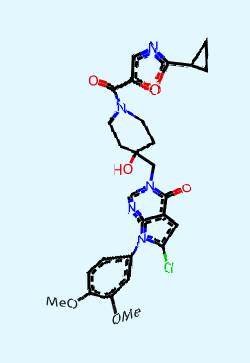 COc1ccc(-n2c(Cl)cc3c(=O)n(CC4(O)CCN(C(=O)c5cnc(C6CC6)o5)CC4)cnc32)cc1OC